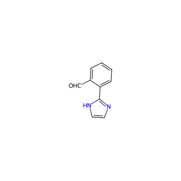 O=Cc1ccccc1-c1ncc[nH]1